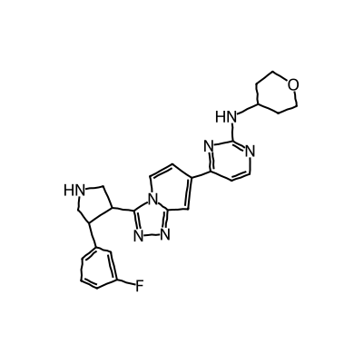 Fc1cccc(C2CNCC2c2nnc3cc(-c4ccnc(NC5CCOCC5)n4)ccn23)c1